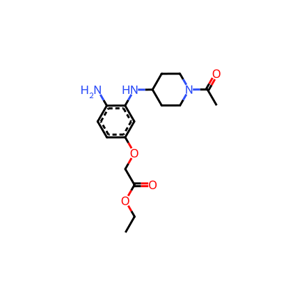 CCOC(=O)COc1ccc(N)c(NC2CCN(C(C)=O)CC2)c1